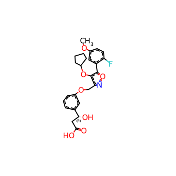 COc1ccc(F)c(-c2onc(COc3cccc([C@H](O)CC(=O)O)c3)c2OC2CCCC2)c1